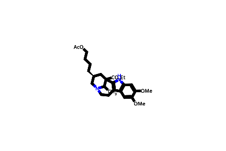 CCOC(=O)C12C[C@H](CCCCOC(C)=O)CN(CCc3c1[nH]c1cc(OC)c(OC)cc31)C2C